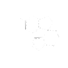 Oc1ccc2c(c1)CCC21COCc2cncn21